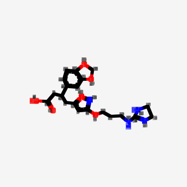 O=C(O)CC(Cc1cc(OCCCNC2=NCCN2)no1)c1ccc2c(c1)OCO2